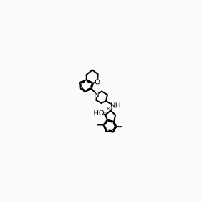 Cc1ccc(C)c2c1C[C@@H](NC1CCN(c3cccc4c3OCCC4)CC1)[C@H]2O